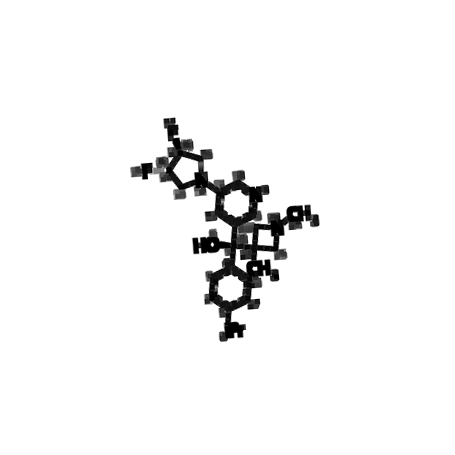 CC(C)c1ccc([C@](O)(c2cncc(N3C[C@H](F)[C@@H](F)C3)c2)C2(C)CN(C)C2)cc1